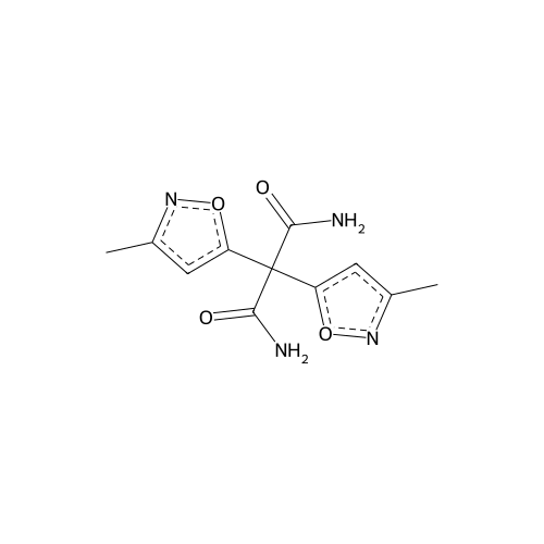 Cc1cc(C(C(N)=O)(C(N)=O)c2cc(C)no2)on1